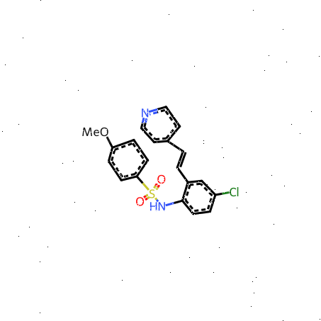 COc1ccc(S(=O)(=O)Nc2ccc(Cl)cc2/C=C/c2ccncc2)cc1